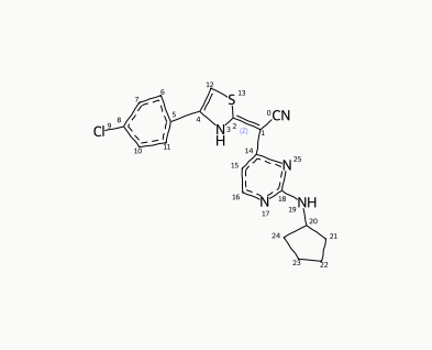 N#C/C(=C1/NC(c2ccc(Cl)cc2)=CS1)c1ccnc(NC2CCCC2)n1